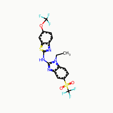 CCn1c(Nc2nc3ccc(OC(F)(F)F)cc3s2)nc2cc(S(=O)(=O)C(F)(F)F)ccc21